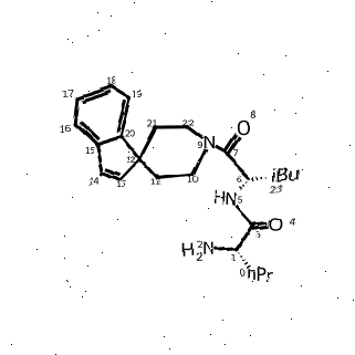 CCC[C@H](N)C(=O)N[C@H](C(=O)N1CCC2(C=Cc3ccccc32)CC1)[C@@H](C)CC